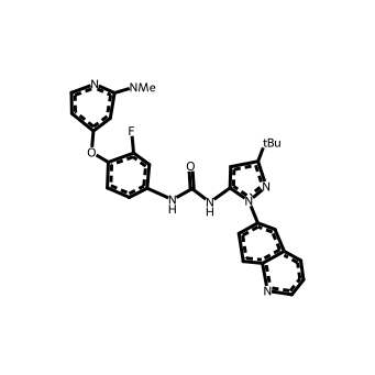 CNc1cc(Oc2ccc(NC(=O)Nc3cc(C(C)(C)C)nn3-c3ccc4ncccc4c3)cc2F)ccn1